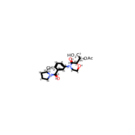 CC(=O)O[C@@H](C(=O)O)[C@H]1OCCN(c2cccc(C(=O)N3CCC[C@@H]3C)c2)C1=O